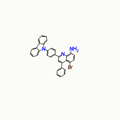 Nc1ccc(Br)c2c(-c3ccccc3)cc(-c3ccc(-n4c5ccccc5c5ccccc54)cc3)nc12